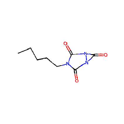 CCCCCn1c(=O)n2c(=O)n2c1=O